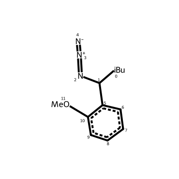 CCC(C)C(N=[N+]=[N-])c1ccccc1OC